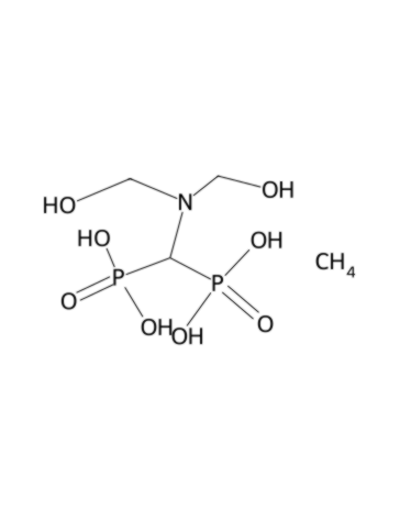 C.O=P(O)(O)C(N(CO)CO)P(=O)(O)O